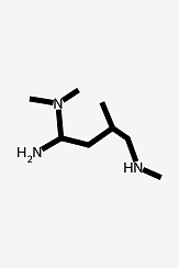 CNCC(C)CC(N)N(C)C